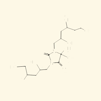 CCCC(C)CC(O)CN1C(=O)N(CC(O)CC(C)CC)C(=O)C1(C)C